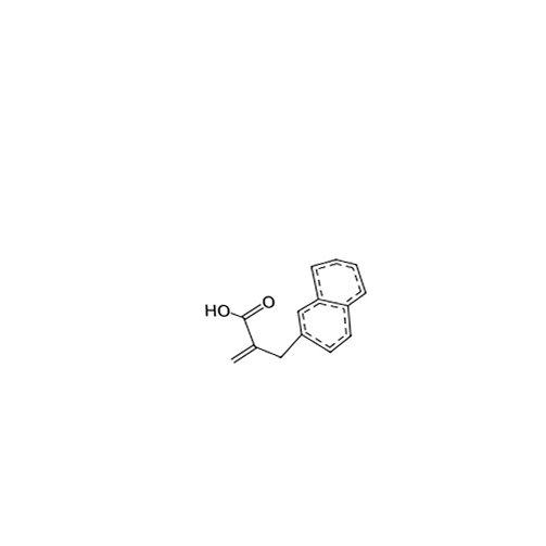 C=C(Cc1ccc2ccccc2c1)C(=O)O